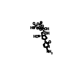 C#C[C@@]1(COP(=O)(O)OP(=O)(O)OP(=O)(O)O)C[C@H](n2ccc(N)nc2=O)C[C@H]1O